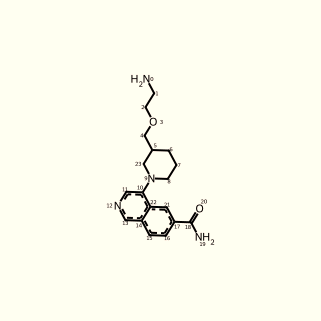 NCCOCC1CCCN(c2cncc3ccc(C(N)=O)cc23)C1